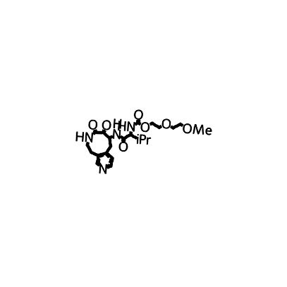 COCCOCCOC(=O)NC(C(=O)NC1Cc2ccncc2CCNC(=O)C1=O)C(C)C